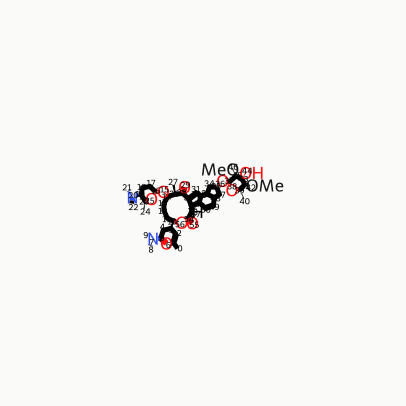 C/C=C/C(CC(=O)N(C)C)[C@H]1CCC[C@H](OC2CC[C@H](N(C)C)[C@@H](C)O2)[C@@H](C)C(=O)C2=CC3C4CC(O[C@@H]5O[C@@H](C)[C@H](OC)[C@@H](O)[C@H]5OC)CC4C=C[C@H]3C2CC(=O)O1